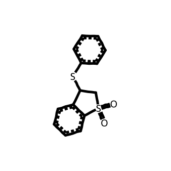 O=S1(=O)CC(Sc2ccccc2)c2ccccc21